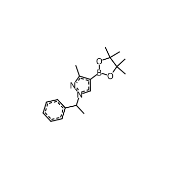 Cc1nn(C(C)c2ccccc2)cc1B1OC(C)(C)C(C)(C)O1